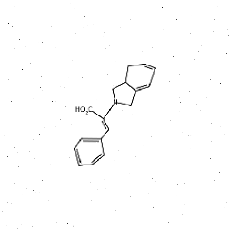 O=C(O)C(=Cc1ccccc1)N1CC2=CC=CCC2C1